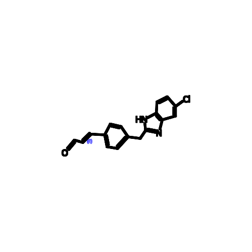 O=C/C=C/c1ccc(Cc2nc3cc(Cl)ccc3[nH]2)cc1